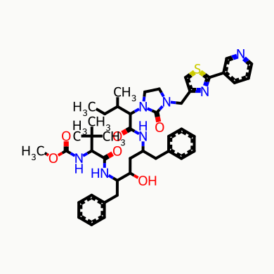 CCC(C)C(C(=O)NC(Cc1ccccc1)CC(O)C(Cc1ccccc1)NC(=O)C(NC(=O)OC)C(C)(C)C)N1CCN(Cc2csc(-c3cccnc3)n2)C1=O